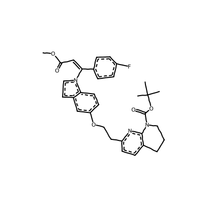 COC(=O)/C=C(/c1ccc(F)cc1)n1ccc2cc(OCCc3ccc4c(n3)N(C(=O)OC(C)(C)C)CCC4)ccc21